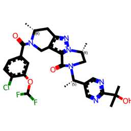 C[C@@H]1Cc2nn3c(c2CN1C(=O)c1ccc(Cl)c(OC(F)F)c1)C(=O)N([C@@H](C)c1cnc(C(C)(C)O)nc1)C[C@H]3C